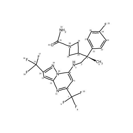 C[C@](CNc1cc(C(F)(F)F)nc2cc(C(F)(F)F)nn12)(c1ccc(F)cc1)C1CN(C(N)=O)C1